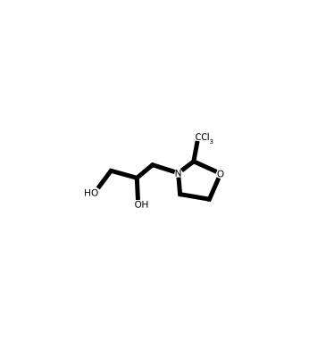 OCC(O)CN1CCOC1C(Cl)(Cl)Cl